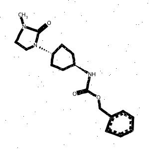 CN1CCN([C@H]2CC[C@H](NC(=O)OCc3ccccc3)CC2)C1=O